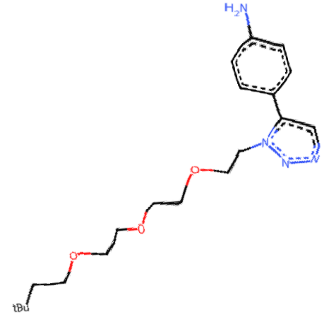 CC(C)(C)CCOCCOCCOCCn1nncc1-c1ccc(N)cc1